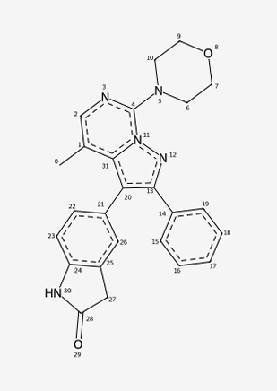 Cc1cnc(N2CCOCC2)n2nc(-c3ccccc3)c(-c3ccc4c(c3)CC(=O)N4)c12